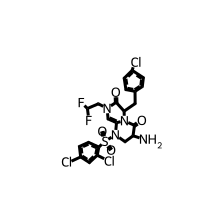 NC1CN(S(=O)(=O)c2ccc(Cl)cc2Cl)C2=CN(CC(F)F)C(=O)C(Cc3ccc(Cl)cc3)N2C1=O